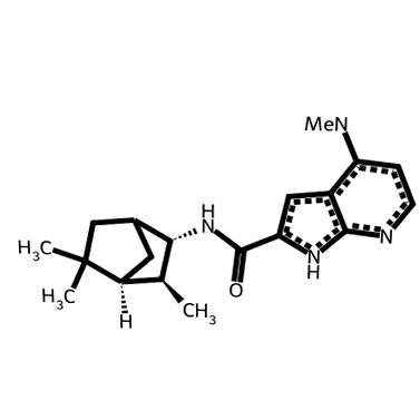 CNc1ccnc2[nH]c(C(=O)N[C@H]3C4C[C@@H]([C@@H]3C)C(C)(C)C4)cc12